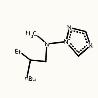 CCCCC(CC)CN(C)n1cncn1